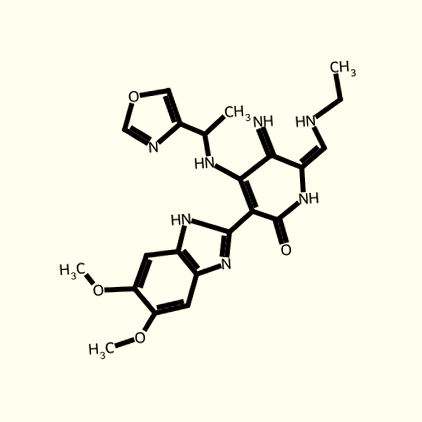 CCN/C=C1/NC(=O)C(c2nc3cc(OC)c(OC)cc3[nH]2)=C(NC(C)c2cocn2)C1=N